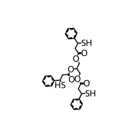 O=C(CC(S)c1ccccc1)OCC(COC(=O)CC(S)c1ccccc1)OC(=O)CC(S)c1ccccc1